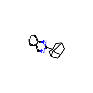 c1ccc2nc(C34CC5CC(CC(C5)C3)C4)ncc2c1